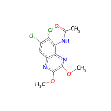 COc1nc2cc(Cl)c(Cl)c(NC(C)=O)c2nc1OC